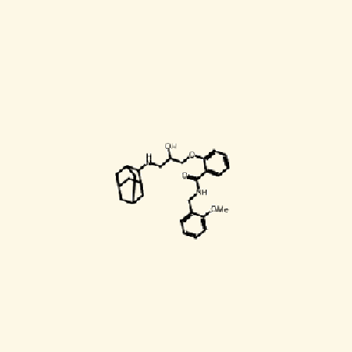 COc1ccccc1CNC(=O)c1ccccc1OCC(O)CNC1C2CC3CC(C2)CC1C3